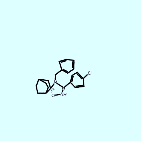 Clc1ccc(N2NO[C@]3(CC4CCC3CC4)N2Cc2ccccc2)cc1